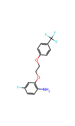 Nc1ccc(F)cc1OCCOc1ccc(C(F)(F)F)cc1